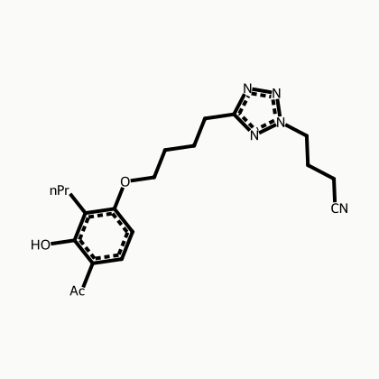 CCCc1c(OCCCCc2nnn(CCCC#N)n2)ccc(C(C)=O)c1O